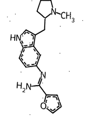 CN1CCCC1Cc1c[nH]c2ccc(N=C(N)c3ccco3)cc12